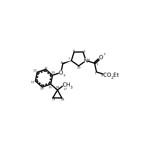 CCOC(=O)CC(=O)N1CC[C@H](COc2ccccc2C2(C)CC2)C1